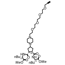 C#CCOCCOCCOCCOCCN1CCN(C2C[C@@H](C(=O)N[C@@H](CCCC)C(=O)OC)[C@H](C(=O)N[C@@H](CCCC)C(=O)OC)C2)CC1